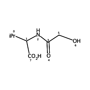 CC(C)C(NC(=O)CO)C(=O)O